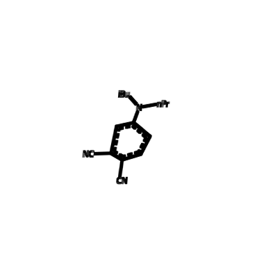 CCCN(c1ccc(C#N)c(C#N)c1)C(C)CC